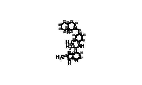 Cc1nc2c(C(C)Nc3ccc(CN4CCC5CCCC[C@H]5C4)cc3C)ccnc2[nH]1